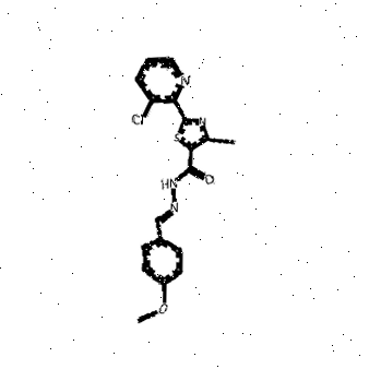 COc1ccc(/C=N/NC(=O)c2sc(-c3ncccc3Cl)nc2C)cc1